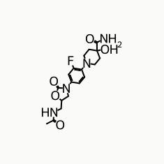 CC(=O)NCC1CN(c2ccc(N3CCC(O)(C(N)=O)CC3)c(F)c2)C(=O)O1